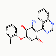 Cc1ccccc1OC1=CC(=O)C(c2ncnc3ccccc23)=C(N)C1=O